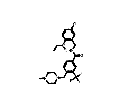 CC[S+]([O-])c1ccc(Cl)cc1CNC(=O)c1ccc(CN2CCN(C)CC2)c(C(F)(F)F)c1